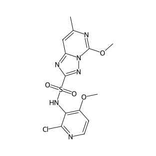 COc1ccnc(Cl)c1NS(=O)(=O)c1nc2cc(C)nc(OC)n2n1